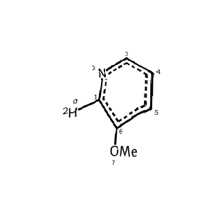 [2H]c1ncccc1OC